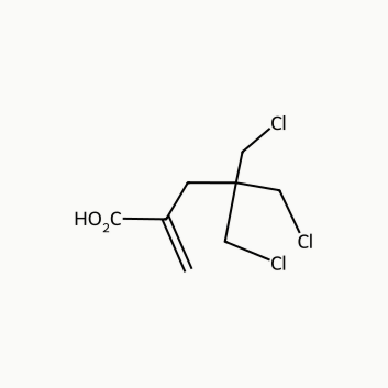 C=C(CC(CCl)(CCl)CCl)C(=O)O